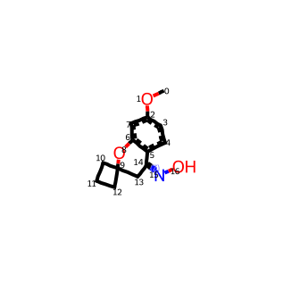 COc1ccc2c(c1)OC1(CCC1)C/C2=N/O